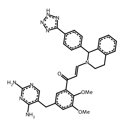 COc1cc(Cc2cnc(N)nc2N)cc(C(=O)/C=C/N2CCc3ccccc3C2c2ccc(-c3nn[nH]n3)cc2)c1OC